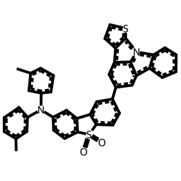 Cc1cccc(N(c2cccc(C)c2)c2ccc3c(c2)-c2cc(-c4cc5c6ccccc6n6c7sccc7c(c4)c56)ccc2S3(=O)=O)c1